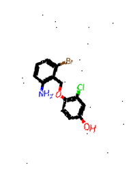 Nc1cccc(Br)c1COc1ccc(O)cc1Cl